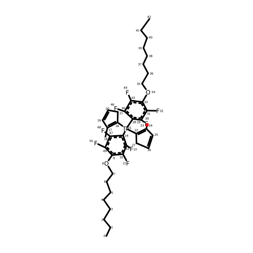 CCCCCCCCOc1c(F)c(F)[c]([Ti]([C]2=C(C)C=CC2)([C]2=C(C)C=CC2)[c]2c(F)c(F)c(OCCCCCCCC)c(F)c2F)c(F)c1F